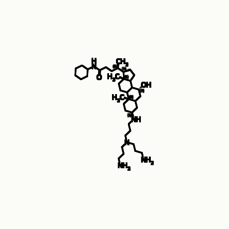 C[C@H](CCC(=O)NC1CCCCC1)[C@H]1CCC2C3C(CC[C@@]21C)[C@@]1(C)CC[C@H](NCCCN(CCCN)CCCN)CC1C[C@H]3O